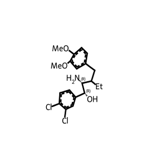 CCC(Cc1ccc(OC)c(OC)c1)[C@@H](N)[C@H](O)c1ccc(Cl)c(Cl)c1